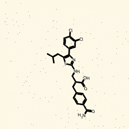 CC(C)Cc1sc(NCC(Cc2ccc(C(N)=O)cc2)C(=O)O)nc1-c1ccc(Cl)c(Cl)c1